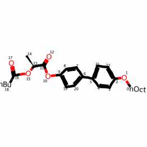 CCCCCCCCOc1ccc(-c2ccc(OC(=O)[C@H](C)OC(=O)CCCC)cc2)cc1